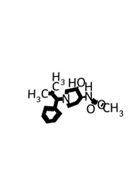 COC(=O)N[C@H]1CCN(C(c2ccccc2)C(C)C)C[C@@H]1O